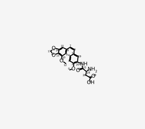 COc1ccc(/C=C\c2cc(OC)c3c(c2)OCO3)cc1NC(=O)[C@@H](N)CC(=O)O